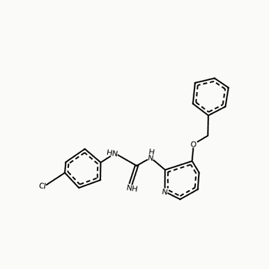 N=C(Nc1ccc(Cl)cc1)Nc1ncccc1OCc1ccccc1